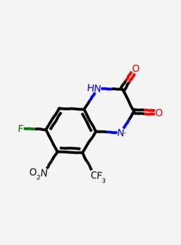 O=C1[N]c2c(cc(F)c([N+](=O)[O-])c2C(F)(F)F)NC1=O